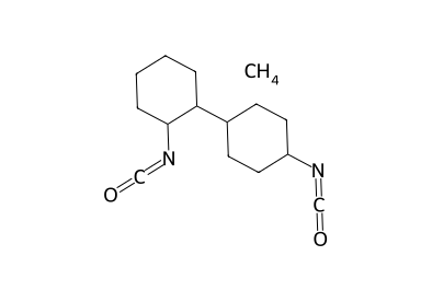 C.O=C=NC1CCC(C2CCCCC2N=C=O)CC1